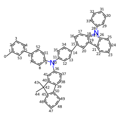 Cc1cccc(-c2ccc(N(c3ccc(-c4ccc5c(c4)c4ccccc4n5-c4ccccc4)cc3)c3ccc4c(c3)C(C)(C)c3ccccc3-4)cc2)c1